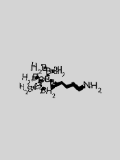 BB(B)B(B)B(B(B)B)B1CC1CCCCN